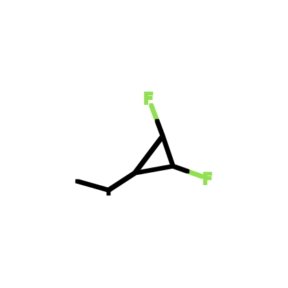 C[CH]C1C(F)C1F